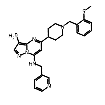 Bc1cnn2c(NCc3cccnc3)cc(C3CCN(Cc4ccccc4SC)CC3)nc12